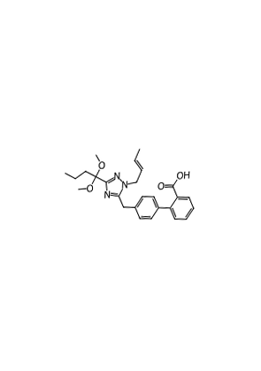 C/C=C/Cn1nc(C(CCC)(OC)OC)nc1Cc1ccc(-c2ccccc2C(=O)O)cc1